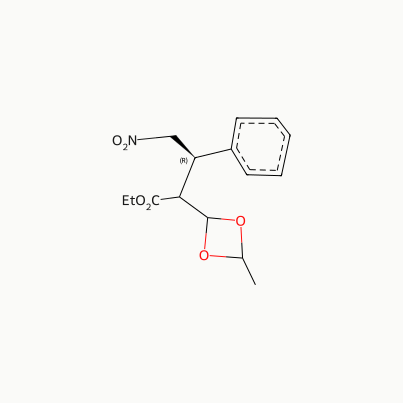 CCOC(=O)C(C1OC(C)O1)[C@@H](C[N+](=O)[O-])c1ccccc1